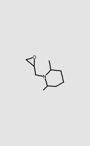 CC1CCCC(C)N1CC1CO1